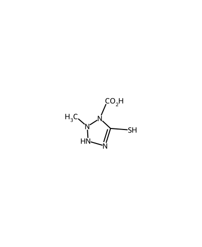 CN1NN=C(S)N1C(=O)O